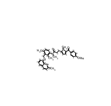 COc1ccc(C(=O)c2ccc(CCC(=O)N(C)c3ccc(C)c(COc4cccc5ccc(C)nc45)c3C)n2C)cc1